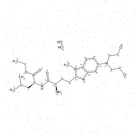 CCOC(=O)[C@H](CC(C)C)NC(=O)[C@H](N)CCc1nc2cc(N(CCCl)CCCl)ccc2n1C.Cl.Cl